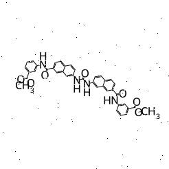 COC(=O)c1cccc(NC(=O)c2ccc3ccc(NC(=O)Nc4ccc5ccc(C(=O)Nc6cccc(C(=O)OC)c6)cc5c4)cc3c2)c1